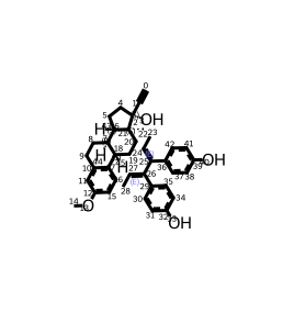 C#C[C@]1(O)CC[C@H]2[C@@H]3CCc4cc(OC)ccc4[C@H]3CC[C@@]21C.C/C=C(/C(=C/C)c1ccc(O)cc1)c1ccc(O)cc1